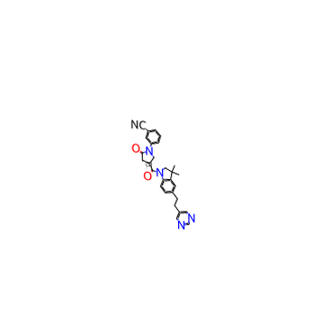 CC1(C)CN(C(=O)[C@H]2CC(=O)N(c3cccc(C#N)c3)C2)c2ccc(CCc3cncnc3)cc21